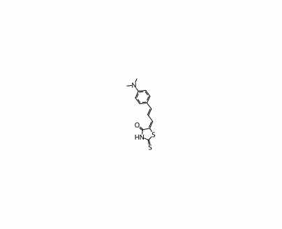 CN(C)c1ccc(C=CC=C2SC(=S)NC2=O)cc1